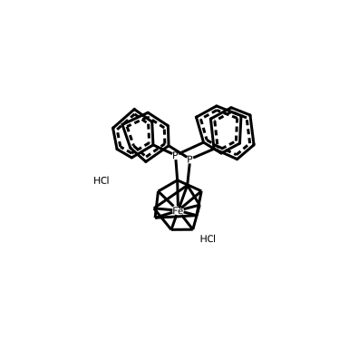 Cl.Cl.c1ccc(P(c2ccccc2)[C]23[CH]4[CH]5[CH]6[CH]2[Fe]56432789[CH]3[CH]2[CH]7[C]8(P(c2ccccc2)c2ccccc2)[CH]39)cc1